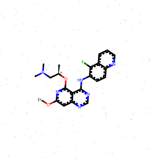 CCOc1cc2ncnc(Nc3ccc4ncccc4c3F)c2c(O[C@H](C)CN(C)C)n1